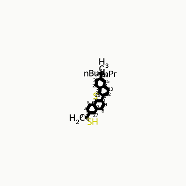 C=C(S)c1ccc2c(ccc3c4ccc5cc(C(C)(CCC)CCCC)ccc5c4sc23)c1